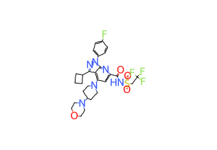 O=C(NS(=O)(=O)CC(F)(F)F)c1cc(N2CCC(N3CCOCC3)CC2)c2c(C3CCC3)nn(-c3ccc(F)cc3)c2n1